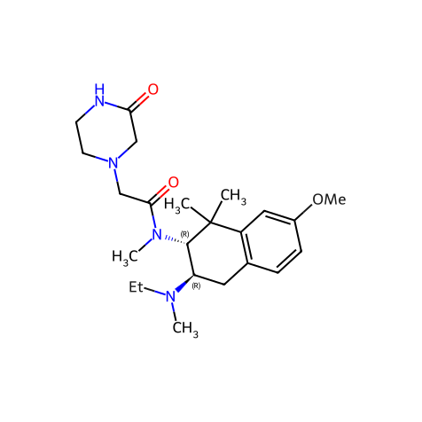 CCN(C)[C@@H]1Cc2ccc(OC)cc2C(C)(C)[C@H]1N(C)C(=O)CN1CCNC(=O)C1